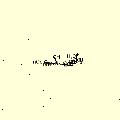 CCCCCCCCC(CCCCCC)OC(=O)CCCCCCN(CCCCO)CCCCCC(=O)OC1CCC2(C)C(=CCC3C2CCC2(C)C(C(C)/C=C/C(C)C(C)C)CCC32)C1